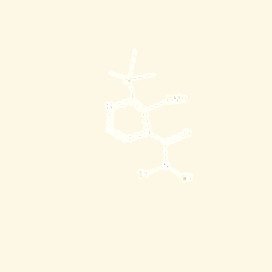 COc1c(C(=O)N(C(C)C)C(C)C)ccnc1[Si](C)(C)C